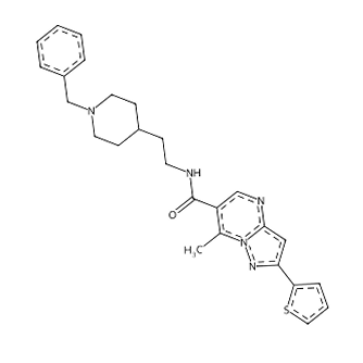 Cc1c(C(=O)NCCC2CCN(Cc3ccccc3)CC2)cnc2cc(-c3cccs3)nn12